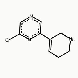 Clc1cncc(C2=CCCNC2)n1